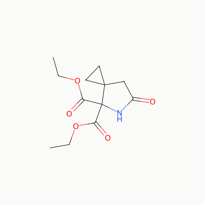 CCOC(=O)C1(C(=O)OCC)NC(=O)CC12CC2